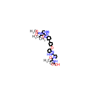 COC(=O)N[C@H](C(=O)[C@@]1(c2nc3cc(-c4ccc(Oc5cccc6[nH]c([C@@H]7CCCN7C(=O)[C@@H](NC(=O)O)C(C)C)nc56)cc4)ccc3[nH]2)CCCN1)C(C)C